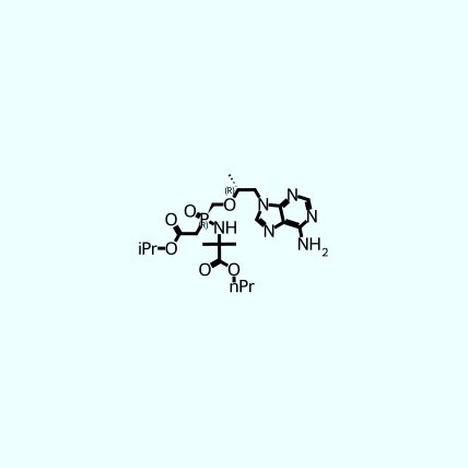 CCCOC(=O)C(C)(C)N[P@](=O)(CO[C@H](C)Cn1cnc2c(N)ncnc21)CC(=O)OC(C)C